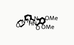 COc1cc(OC)c2c(=O)[nH]c(-c3cccc(N4CCOCC4)n3)nc2c1